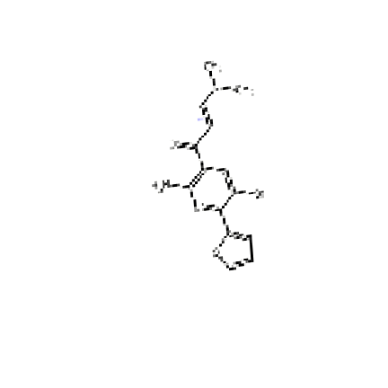 CN(C)/C=C/C(=O)c1cc(Br)c(-c2ccco2)nc1N